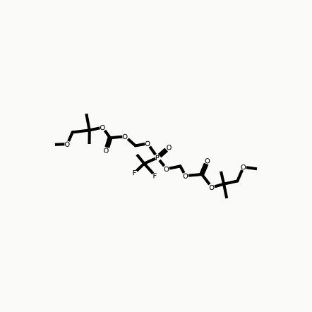 COCC(C)(C)OC(=O)OCOP(=O)(OCOC(=O)OC(C)(C)COC)C(C)(F)F